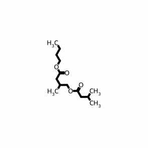 CCCCOC(=O)CC(C)COC(=O)CC(C)C